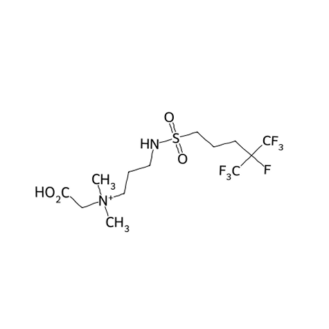 C[N+](C)(CCCNS(=O)(=O)CCCC(F)(C(F)(F)F)C(F)(F)F)CC(=O)O